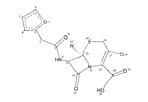 O=C(Cc1ccco1)NC1C(=O)N2C(C(=O)O)=C(Cl)CS[C@H]12